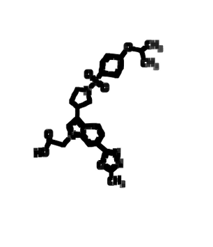 Cc1nnc(-c2ccc3c(C4CCN(S(=O)(=O)c5ccc(OC(C)C)cc5)C4)cn(CC(=O)O)c3c2)o1